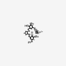 CC(=O)[O-].CC(=O)[O-].CC(C)Cc1cc(C=NC2CCCC2N=Cc2cc(CC(C)C)cc(C(C)(C)C)c2O)c(O)c(C(C)(C)C)c1.[Co+2]